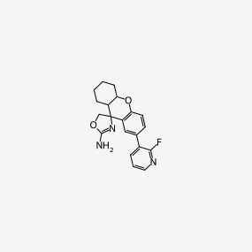 NC1=NC2(CO1)c1cc(-c3cccnc3F)ccc1OC1CCCCC12